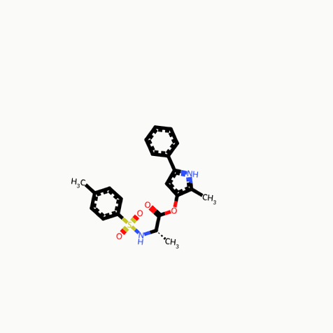 Cc1ccc(S(=O)(=O)N[C@@H](C)C(=O)Oc2cc(-c3ccccc3)[nH]c2C)cc1